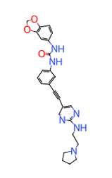 O=C(Nc1cccc(C#Cc2cnc(NCCN3CCCC3)nc2)c1)Nc1ccc2c(c1)OCO2